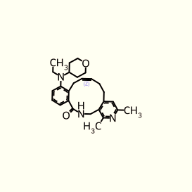 CCN(c1cccc2c1C/C=C\CCc1cc(C)nc(C)c1CNC2=O)C1CCOCC1